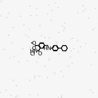 COC(=O)c1ccc(CNc2ccc(C3CCCCC3)cc2)cc1C(=O)NCl